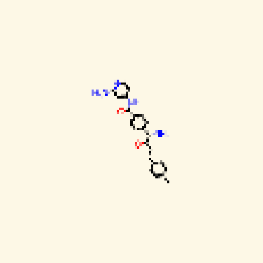 Cc1ccc(CCC(=O)C(N)c2ccc(C(=O)Nc3ccnc(N)c3)cc2)cc1